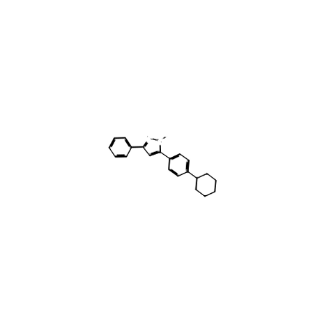 Cn1nc(-c2ccccc2)cc1-c1ccc(C2CCCCC2)cc1